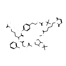 CC(C)(C)OC(=O)NCCc1ccc(NC(=O)C(CCCNC(N)=O)NC(=O)[C@@H](Cc2ccccc2)NC(=O)C[C@@H]2O[C@H](CNC(=O)CCCCN3C(=O)C=CC3=O)C3OC(C)(C)OC32)cc1